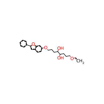 C=COCCCC(O)C(O)CCCOc1ccc2cc(-c3ccccc3)oc2c1